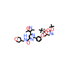 Cc1noc(C)c1-c1cc(C(=O)NCC2CCOCC2)nc(-c2cccc(OCC(CN(C)C(=O)OC(C)(C)C)O[Si](C)(C)C(C)(C)C)c2)n1